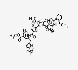 C=C(C)[C@@H](C[C@@H](OC(C)=O)c1nc(C(=O)N[C@@H](Cc2nc(C(F)(F)F)cs2)C[C@H](C)C(=O)OC)cs1)N(C)C(=O)[C@@H](NC(=O)[C@H]1CCCCN1CC)C1CC1